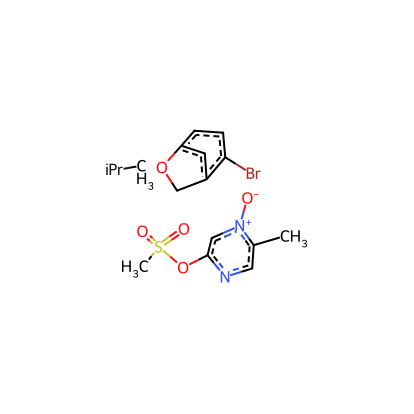 Brc1ccc2cc1CO2.CC(C)C.Cc1cnc(OS(C)(=O)=O)c[n+]1[O-]